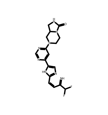 N=C(/C=C\c1ncc(-c2cc(N3CCN4C(=O)NCC4C3)ncn2)[nH]1)C(F)F